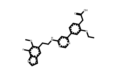 CCOc1cc(-c2cc(NCCc3cc4ccsc4c(F)c3OC)ncn2)ccc1CC(=O)O